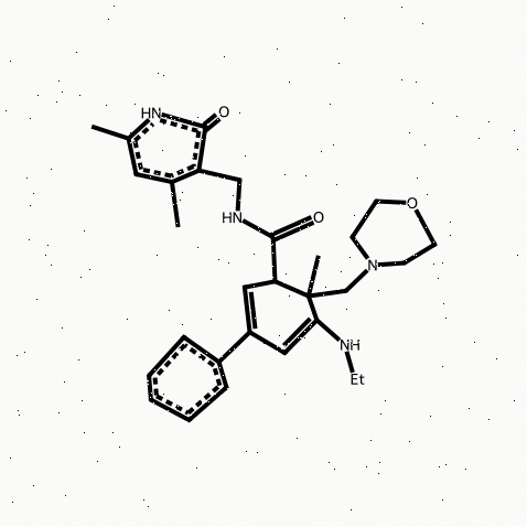 CCNC1=CC(c2ccccc2)=CC(C(=O)NCc2c(C)cc(C)[nH]c2=O)C1(C)CN1CCOCC1